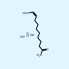 CCCCCCCC/C=C\CCCCCCCC(N)=O.Cl.Cl.Cl